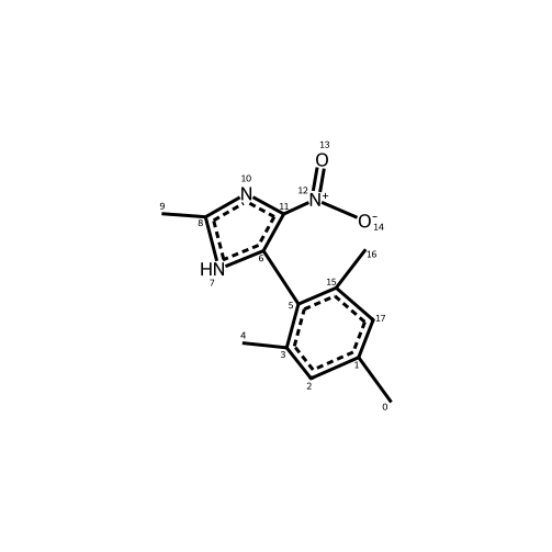 Cc1cc(C)c(-c2[nH]c(C)nc2[N+](=O)[O-])c(C)c1